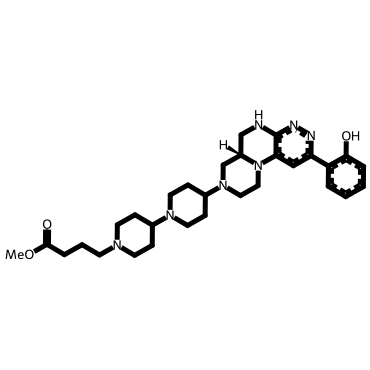 COC(=O)CCCN1CCC(N2CCC(N3CCN4c5cc(-c6ccccc6O)nnc5NC[C@H]4C3)CC2)CC1